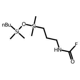 CCCC[Si](C)(C)O[Si](C)(C)CCCNC(=O)F